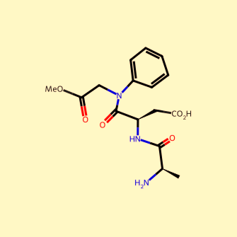 COC(=O)CN(C(=O)[C@@H](CC(=O)O)NC(=O)[C@@H](C)N)c1ccccc1